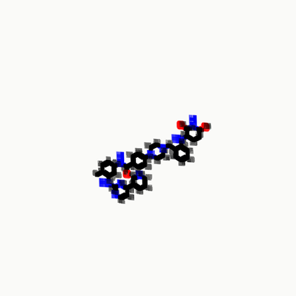 Cc1ccc(NC(=O)c2ccc(N3CCN(Cc4ccccc4NC4CCC(=O)NC4=O)CC3)cc2)cc1Nc1nccc(-c2cccnc2)n1